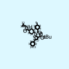 Cc1ccc(C(=O)N(c2sc(-c3ccccc3)cc2C(=O)OC(C)(C)C)C2CCC(C(=O)NC3CC3)CC2)cc1